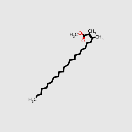 CCCCCCCCCCCCCCCCCCCCCC(C)=C(C)C(=O)OC